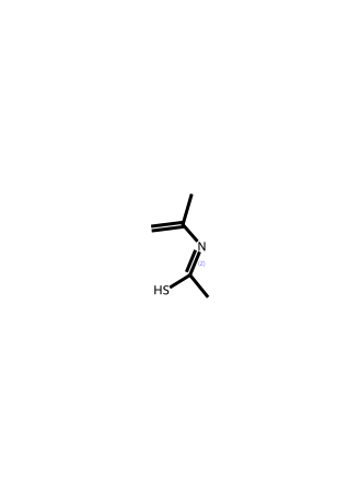 C=C(C)/N=C(/C)S